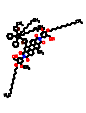 CCCCCCCCCCCCOc1c(CO)cc(N2C(=O)c3ccc4c5c(-c6ccc(C7=C(c8ccccc8)C(c8ccccc8)=C(c8ccc(C)s8)[Si]7(CCCCCCCC)CCCCCCCC)s6)cc6c7c(ccc(c8c(C)cc(c3c48)C2=O)c75)C(=O)N(c2cc(CO)c(OCCCCCCCCCCCC)c(OC)c2)C6=O)cc1OC